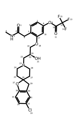 CNC(=O)Cc1ccc(OC(=O)C(F)(F)F)cc1OC[C@@H](O)CN1CCC2(CC1)Cc1cc(Cl)ccc1O2